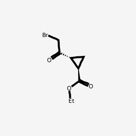 CCOC(=O)[C@@H]1C[C@H]1C(=O)CBr